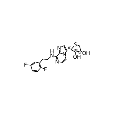 O[C@@H]1[C@H](O)CS[C@H]1c1cnc2c(NCCc3cc(F)ccc3F)nccn12